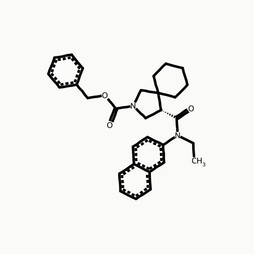 CCN(C(=O)[C@@H]1CN(C(=O)OCc2ccccc2)CC12CCCCC2)c1ccc2ccccc2c1